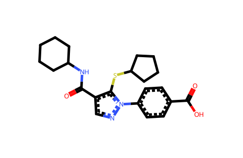 O=C(O)c1ccc(-n2ncc(C(=O)NC3CCCCC3)c2SC2CCCC2)cc1